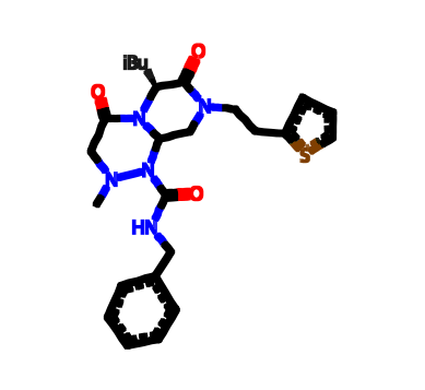 CCC(C)[C@H]1C(=O)N(CCc2cccs2)CC2N1C(=O)CN(C)N2C(=O)NCc1ccccc1